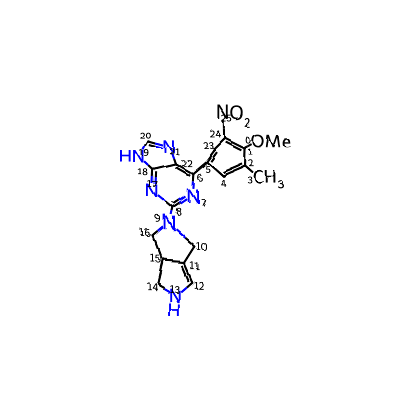 COc1c(C)cc(-c2nc(N3CC4=CNCC4C3)nc3[nH]cnc23)cc1[N+](=O)[O-]